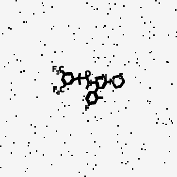 Cc1cc(F)ccc1-c1cc(N2CCCSC2)ncc1N(C)C(=O)C(C)(C)c1cc(C(F)(F)F)cc(C(F)(F)F)c1